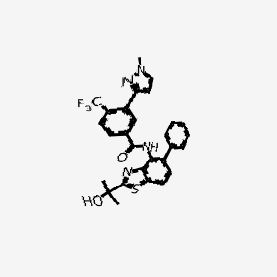 Cn1ccc(-c2cc(C(=O)Nc3c(-c4ccccc4)ccc4sc(C(C)(C)O)nc34)ccc2C(F)(F)F)n1